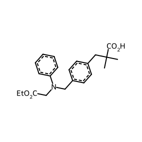 CCOC(=O)CN(Cc1ccc(CC(C)(C)C(=O)O)cc1)c1ccccc1